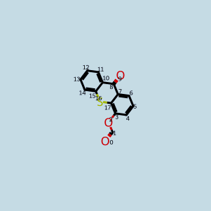 O=COc1cccc2c(=O)c3ccccc3sc12